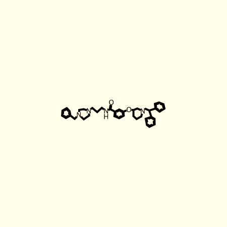 O=C(NCCCN1CCN(Cc2ccccc2)CC1)c1cccc(OC2CCCN(CC(c3ccccc3)c3ccccc3)C2)c1